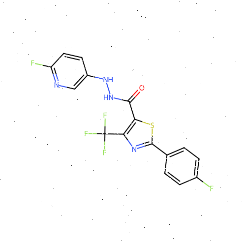 O=C(NNc1ccc(F)nc1)c1sc(-c2ccc(F)cc2)nc1C(F)(F)F